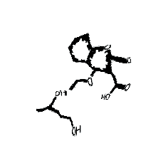 CC(O)CCO.CCOc1c(C(=O)O)c(=O)oc2ccccc12